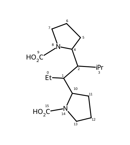 CCC(C(C(C)C)C1CCCN1C(=O)O)C1CCCN1C(=O)O